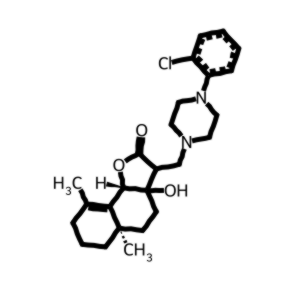 CC1=C2[C@@H]3OC(=O)C(CN4CCN(c5ccccc5Cl)CC4)C3(O)CC[C@@]2(C)CCC1